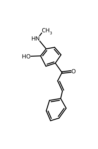 CNc1ccc(C(=O)C=Cc2ccccc2)cc1O